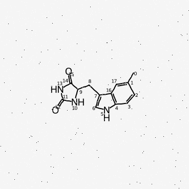 Cc1ccc2[nH]cc(CC3NC(=O)NC3=O)c2c1